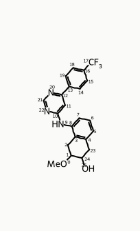 COC1Cc2c(cccc2Nc2cc(-c3ccc(C(F)(F)F)cc3)ncn2)CC1O